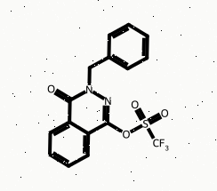 O=c1c2ccccc2c(OS(=O)(=O)C(F)(F)F)nn1Cc1ccccc1